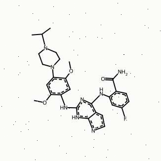 COc1cc(N2CCN(C(C)C)CC2)c(OC)cc1Nc1nc(Nc2cc(F)ccc2C(N)=O)c2ccnc-2[nH]1